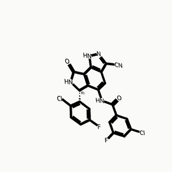 N#Cc1n[nH]c2c3c(c(NC(=O)c4cc(F)cc(Cl)c4)cc12)[C@H](c1cc(F)ccc1Cl)NC3=O